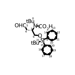 CC(C)(C)N(C(=O)O)[C@@H](CC=O)CO[Si](c1ccccc1)(c1ccccc1)C(C)(C)C